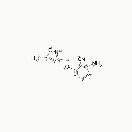 Cc1cc(COc2cccc(N)c2C#N)no1